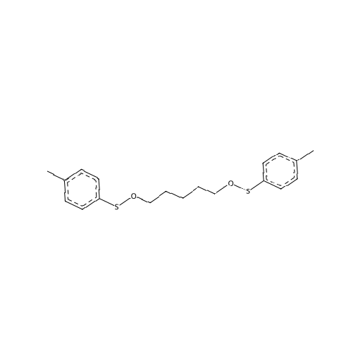 Cc1ccc(SOCCCCCOSc2ccc(C)cc2)cc1